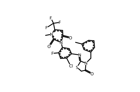 Cc1cccc(CN2C(=O)CSC2=Nc2cc(-n3c(=O)cc(C(F)(F)F)n(C)c3=O)c(F)cc2Cl)c1